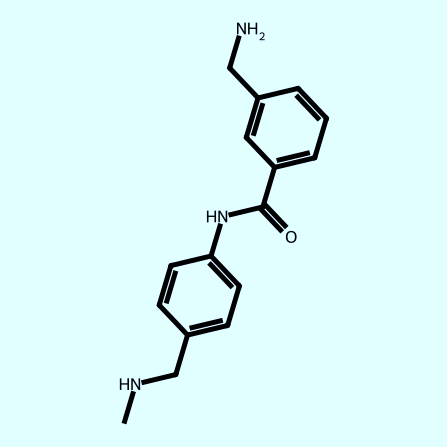 CNCc1ccc(NC(=O)c2cccc(CN)c2)cc1